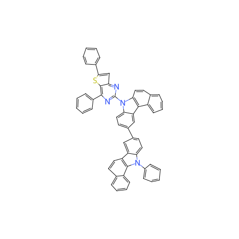 c1ccc(-c2cc3nc(-n4c5ccc(-c6ccc7c(c6)c6ccc8ccccc8c6n7-c6ccccc6)cc5c5c6ccccc6ccc54)nc(-c4ccccc4)c3s2)cc1